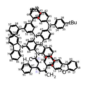 C=C(/C=C(\C=C(/C)N1c2cc(-c3ccc4oc5ccccc5c4c3)ccc2B2c3ccc(N(c4ccc(C(C)(C)C)cc4)c4ccc(C(C)(C)C)cc4)cc3N(c3cc(-c4ccccc4)cc(-c4ccccc4)c3)c3cc(-n4c5ccccc5c5ccccc54)cc1c32)c1ccccc1)c1ccccc1